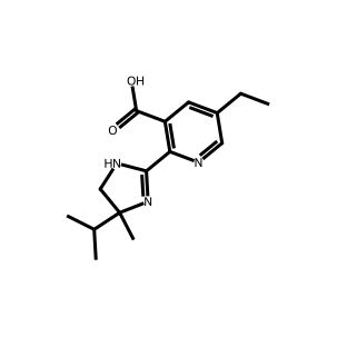 CCc1cnc(C2=NC(C)(C(C)C)CN2)c(C(=O)O)c1